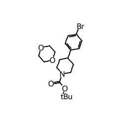 C1COCCO1.CC(C)(C)OC(=O)N1CCC(c2ccc(Br)cc2)CC1